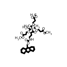 COC(=O)CCOC(C)[N+](C(=O)CCCNC(=O)OCc1c2ccccc2cc2ccccc12)(C(C)OCCC(=O)OC)C(C)OCCC(=O)OC